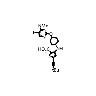 CNc1nc(O[C@H]2CC[C@H](Nc3cc(C#CC(C)(C)C)sc3C(=O)O)CC2)ncc1F